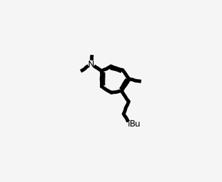 CCC(C)CCC1=C(C)C=CC(N(C)C)=CC1